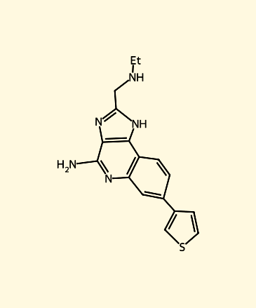 CCNCc1nc2c(N)nc3cc(-c4ccsc4)ccc3c2[nH]1